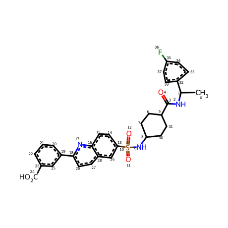 CC(NC(=O)C1CCC(NS(=O)(=O)c2ccc3nc(-c4cccc(C(=O)O)c4)ccc3c2)CC1)c1ccc(F)cc1